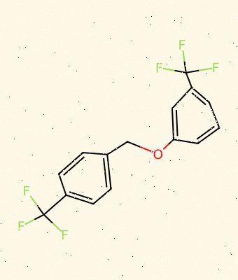 FC(F)(F)c1ccc(COc2cccc(C(F)(F)F)c2)cc1